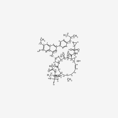 COc1cc2cc(-c3ccc(OC(C)C)cc3)nc(O[C@@H]3C[C@H]4C(=O)N[C@]5(C(=O)NS(=O)(=O)C6CC6)C[C@H]5C=CCC[C@H](C)C[C@@H](C)[C@H](N(C(=O)O)C(C)(C)C(F)(F)F)C(=O)N4C3)c2cc1F